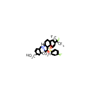 O=C(O)c1ccc(CN2CC[C@]3(S(=O)(=O)c4ccc(F)cc4)c4ccc(C(F)(C(F)(F)F)C(F)(F)F)cc4CC[C@H]23)c(C(=O)O)c1